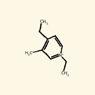 CCc1cc[n+](CC)cc1C